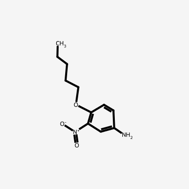 CCCCCOc1ccc(N)cc1[N+](=O)[O-]